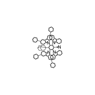 N#Cc1c(-n2c3ccccc3c3ccccc32)c(-n2c3ccc(-c4ccccc4)cc3c3cc(-c4ccccc4)ccc32)c(C23CC4CC(CC(C4)C2)C3)c(-n2c3ccc(-c4ccccc4)cc3c3cc(-c4ccccc4)ccc32)c1-n1c2ccccc2c2ccccc21